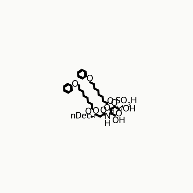 CCCCCCCCCCC[C@@H](CC(=O)N[C@H]1C(O)O[C@H](CO)[C@@H](OS(=O)(=O)O)[C@@H]1OC(=O)CCCCCCCOc1ccccc1)OC(=O)CCCCCCCOc1ccccc1